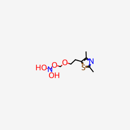 Cc1nc(C)c(CCOCON(O)O)s1